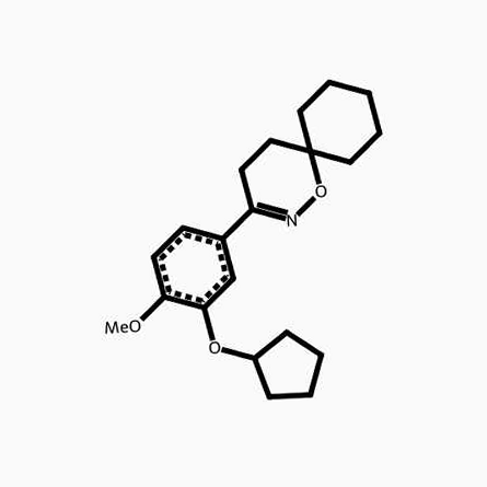 COc1ccc(C2=NOC3(CCCCC3)CC2)cc1OC1CCCC1